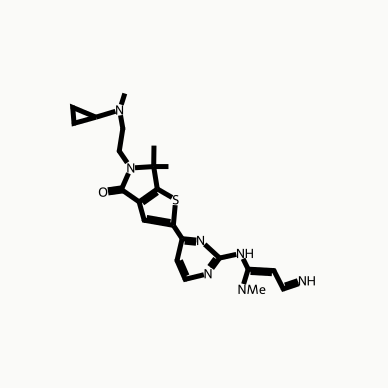 CN/C(=C\C=N)Nc1nccc(-c2cc3c(s2)C(C)(C)N(CCN(C)C2CC2)C3=O)n1